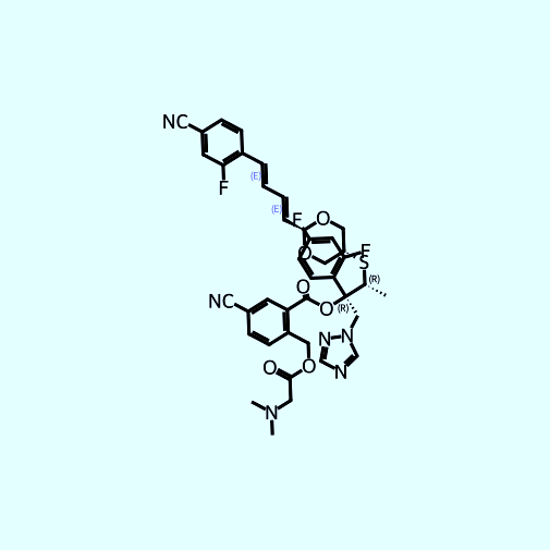 C[C@@H](S[C@H]1CO[C@H](/C=C/C=C/c2ccc(C#N)cc2F)OC1)[C@@](Cn1cncn1)(OC(=O)c1cc(C#N)ccc1COC(=O)CN(C)C)c1ccc(F)cc1F